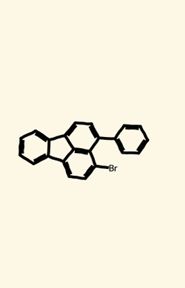 Brc1ccc2c3c(ccc(-c4ccccc4)c13)-c1ccccc1-2